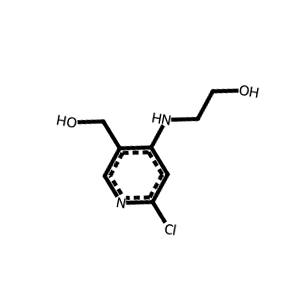 OCCNc1cc(Cl)ncc1CO